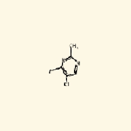 Cc1ncc(Cl)c(F)n1